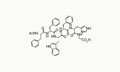 CC(=O)N[C@@H](Cc1ccccc1)C(=O)N[C@@H](Cc1ccccc1)C(=O)N[C@@H](Cc1c[nH]c2ccccc12)C(=O)N[C@@H](Cc1ccccc1)C(=O)N[C@@H](Cc1c[nH]cn1)C(=O)NCC(=O)O